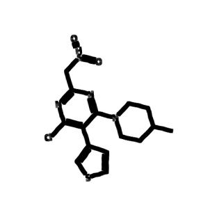 CC1CCN(c2nc(C[SH](=O)=O)nc(Cl)c2-c2ccsc2)CC1